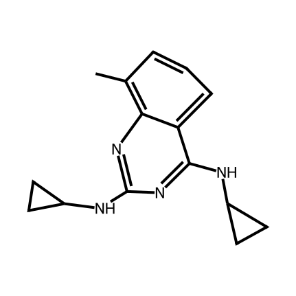 Cc1cccc2c(NC3CC3)nc(NC3CC3)nc12